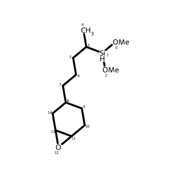 CO[SiH](OC)C(C)CCCC1CCC2OC2C1